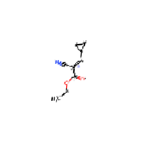 CCOC(=O)/C(C#N)=C/C1CC1